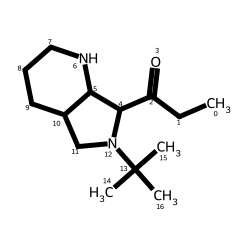 CCC(=O)C1C2NCCCC2CN1C(C)(C)C